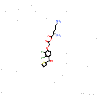 NCCCC[C@H](N)C(=O)OC(=O)COc1ccc(C(=O)c2cccs2)c(Cl)c1Cl